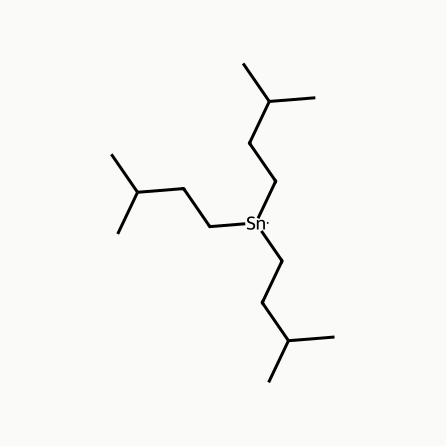 CC(C)C[CH2][Sn]([CH2]CC(C)C)[CH2]CC(C)C